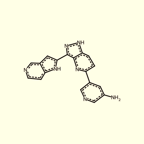 Nc1cncc(-c2ccc3[nH]nc(-c4cc5cnccc5[nH]4)c3n2)c1